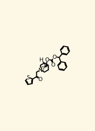 O=C(OC(c1ccccc1)c1ccccc1)O[C@H]1C[N+]2(CC(=O)c3cccs3)CCC1CC2